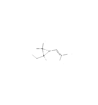 CCCCCCCCCC1(C(=O)O)C(C=C(C)C)C1(C)C